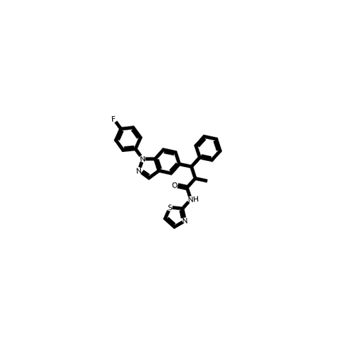 CC(C(=O)Nc1nccs1)C(c1ccccc1)c1ccc2c(cnn2-c2ccc(F)cc2)c1